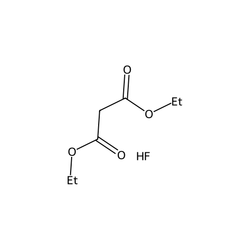 CCOC(=O)CC(=O)OCC.F